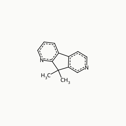 CC1(C)c2cnccc2-c2cccnc21